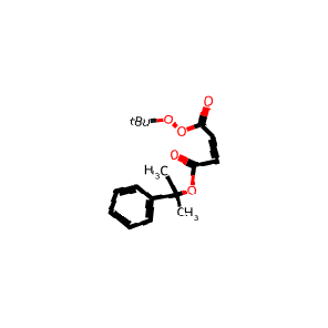 CC(C)(C)OOC(=O)/C=C\C(=O)OC(C)(C)c1ccccc1